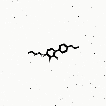 CCCCOc1ccc(-c2ccc(CCC)cc2)c(I)c1I